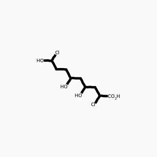 O=C(O)C(Cl)CC(O)CC(O)CCC(O)Cl